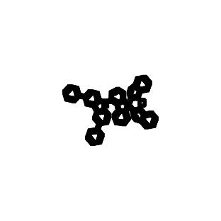 c1ccc(-c2ccc3c(c2)c2cc(-c4ccccc4)ccc2n3-c2cccc3c2-c2ccccc2C32c3ccc4ccccc4c3Oc3c2ccc2ccccc32)cc1